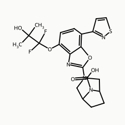 CC(C)(O)C(F)(F)Oc1ccc(-c2ccsn2)c2oc(N3CC4CCC(C3)N4C(=O)O)nc12